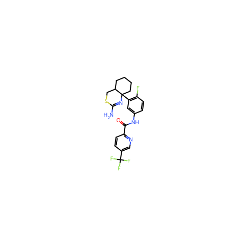 NC1=NC2(c3cc(NC(=O)c4ccc(C(F)(F)F)cn4)ccc3F)CCCCC2CS1